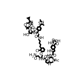 CC(=O)N1CC[C@H]2CC[C@@H](C(=O)N[C@@H](CCC(N)=O)COc3cccc(CCCCCNC(=O)C[C@H](NC(=O)[C@@H]4C[C@@H](O)CN4C(=O)[C@H]4n5nnc(C6CC6)c5COCC4(C)C)c4ccc(-c5sc(C)nc5C)cc4)c3Cl)N2C(=O)[C@@H](NC(=O)c2cc3cc(C(=O)P(=O)(O)O)ccc3[nH]2)C1